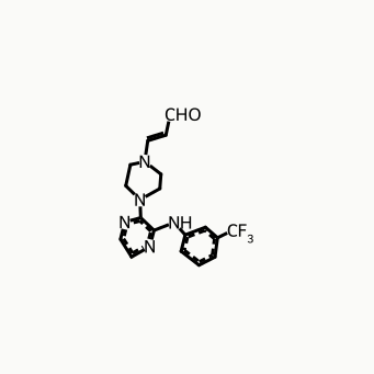 O=CC=CN1CCN(c2nccnc2Nc2cccc(C(F)(F)F)c2)CC1